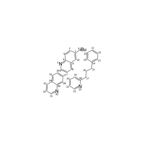 CCC(C)c1ccc2ncccc2c1.c1ccc(CCCc2ccccn2)cc1.c1ccc2ncccc2c1